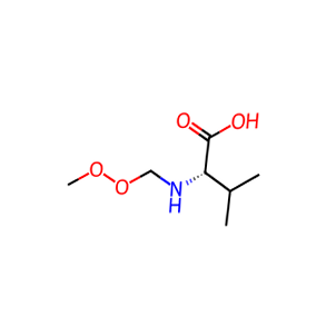 COOCN[C@H](C(=O)O)C(C)C